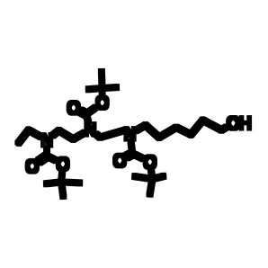 CCN(CCN(CCN(CCCCCCO)C(=O)OC(C)(C)C)C(=O)OC(C)(C)C)C(=O)OC(C)(C)C